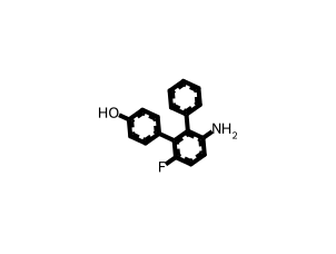 Nc1ccc(F)c(-c2ccc(O)cc2)c1-c1ccccc1